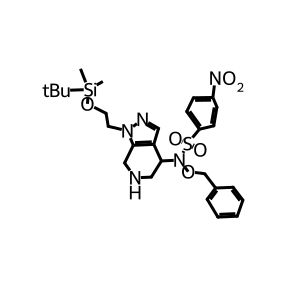 CC(C)(C)[Si](C)(C)OCCn1ncc2c1CNCC2N(OCc1ccccc1)S(=O)(=O)c1ccc([N+](=O)[O-])cc1